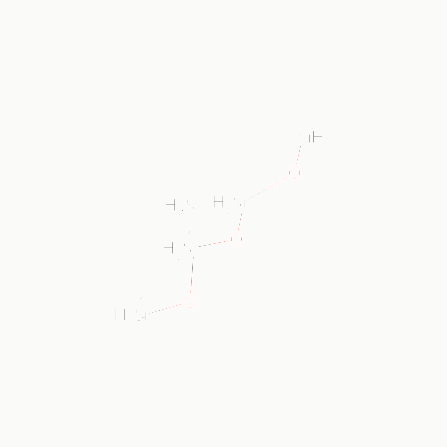 [SiH3]O[SiH2]O[SiH2]O[SiH3].[SiH4]